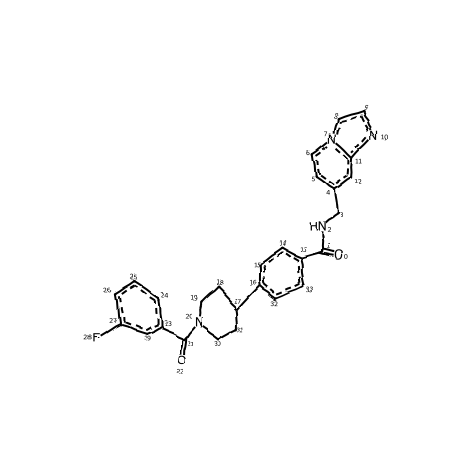 O=C(NCc1ccn2ccnc2c1)c1ccc(C2CCN(C(=O)c3cccc(F)c3)CC2)cc1